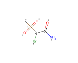 CS(=O)(=O)C(Br)C(N)=O